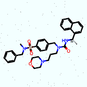 C[C@H](NC(=O)N(CCCN1CCOCC1)Cc1ccc(S(=O)(=O)N(C)Cc2ccccc2)cc1)c1cccc2ccccc12